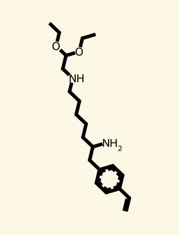 C=Cc1ccc(CC(N)CCCCCNCC(OCC)OCC)cc1